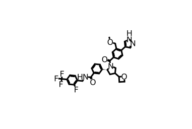 COCc1cc(C(=O)N2CC(C3CCO3)C[C@@H]2c2cccc(C(=O)NCc3ccc(C(F)(F)F)cc3F)c2)ccc1-c1cn[nH]c1